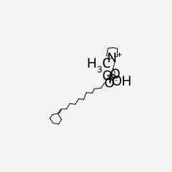 C[N+]1(CCOP(=O)(O)OCCCCCCCCCCC=C2CCCCC2)CCCCC1